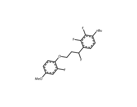 CCCCc1ccc(C(F)CCOc2ccc(OC)cc2F)c(F)c1F